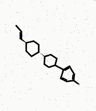 C/C=C/[C@H]1CC[C@H](C2CCC(c3ccc(F)cc3)CC2)CC1